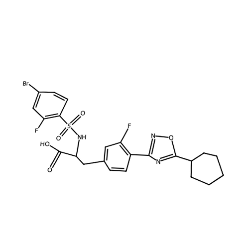 O=C(O)C(Cc1ccc(-c2noc(C3CCCCC3)n2)c(F)c1)NS(=O)(=O)c1ccc(Br)cc1F